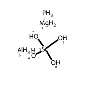 O[Si](O)(O)O.P.[AlH3].[MgH2]